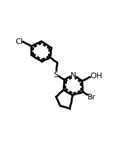 Oc1nc(SCc2ccc(Cl)cc2)c2c(c1Br)CCC2